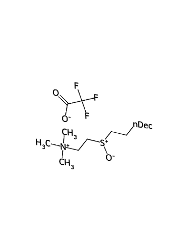 CCCCCCCCCCCC[S+]([O-])CC[N+](C)(C)C.O=C([O-])C(F)(F)F